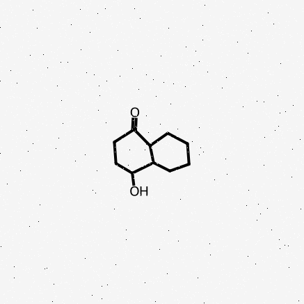 O=C1CCC(O)C2CCCCC12